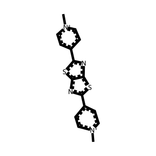 C[n+]1ccc(-c2nc3sc(-c4cc[n+](C)cc4)nc3s2)cc1